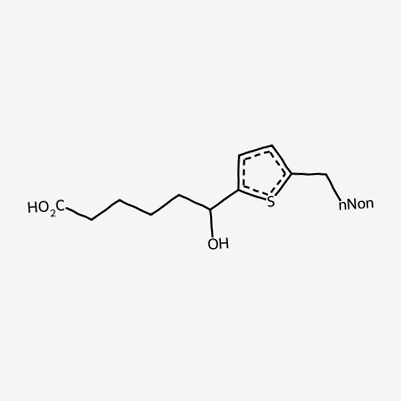 CCCCCCCCCCc1ccc(C(O)CCCCC(=O)O)s1